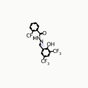 O=C(N/N=C/c1cc(C(F)(F)F)cc(C(F)(F)F)c1O)c1ccccc1C(F)(F)F